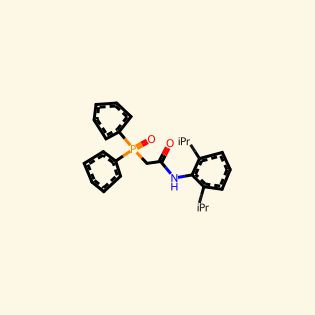 CC(C)c1cccc(C(C)C)c1NC(=O)CP(=O)(c1ccccc1)c1ccccc1